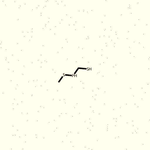 CSPCS